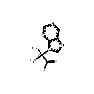 C[C@](N)(C(=O)O)n1cnc2cncnc21